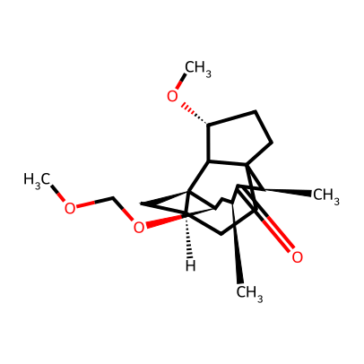 COCO[C@@H]1C[C@H](C)C(=O)[C@H](C)C23CC[C@H]4C[C@]41C2[C@H](OC)CC3